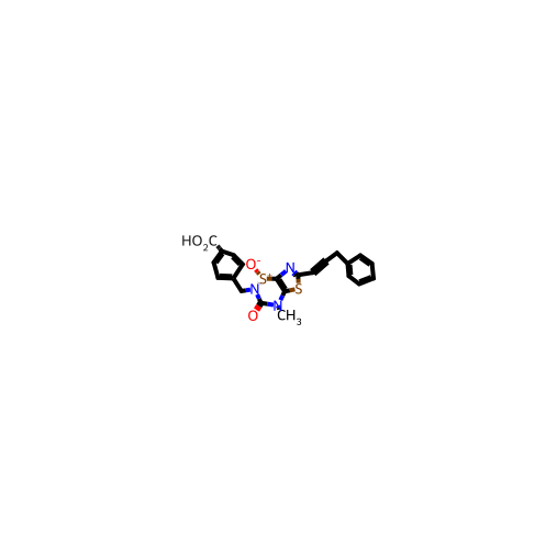 CN1C(=O)N(Cc2ccc(C(=O)O)cc2)[S+]([O-])c2nc(C#CCc3ccccc3)sc21